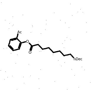 CCCCCCCCCCCCCCCCCC(=O)Oc1ccccc1C(C)=O